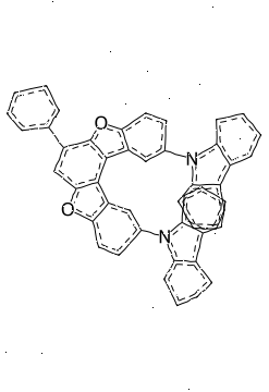 c1ccc(-c2cc3oc4ccc(-n5c6ccccc6c6ccccc65)cc4c3c3c2oc2ccc(-n4c5ccccc5c5ccccc54)cc23)cc1